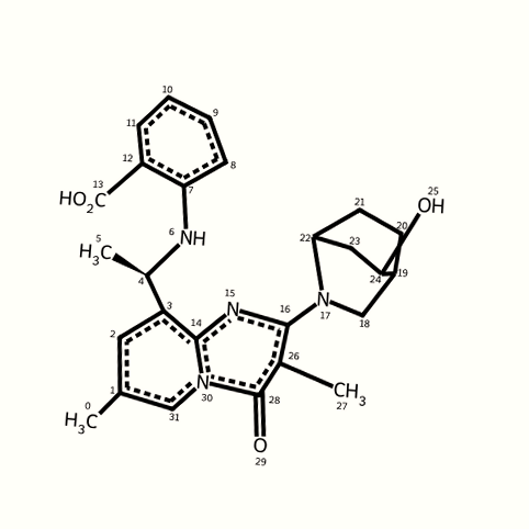 Cc1cc([C@@H](C)Nc2ccccc2C(=O)O)c2nc(N3CC4CCC3CC4O)c(C)c(=O)n2c1